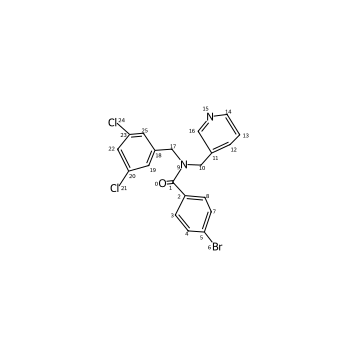 O=C(c1ccc(Br)cc1)N(Cc1cccnc1)Cc1cc(Cl)cc(Cl)c1